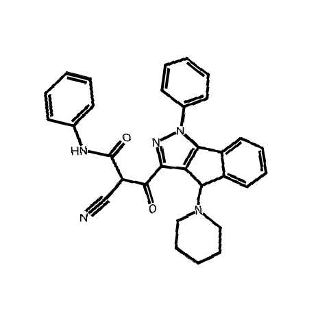 N#CC(C(=O)Nc1ccccc1)C(=O)c1nn(-c2ccccc2)c2c1C(N1CCCCC1)c1ccccc1-2